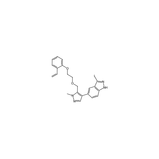 C=Cc1ccccc1OCCOCc1c(-c2ccc3[nH]nc(I)c3c2)cnn1C